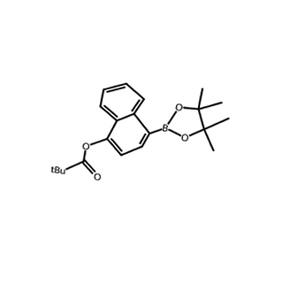 CC(C)(C)C(=O)Oc1ccc(B2OC(C)(C)C(C)(C)O2)c2ccccc12